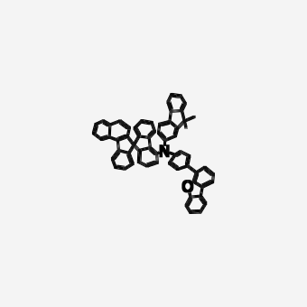 CC1(C)c2ccccc2-c2ccc(N(c3ccc(-c4cccc5c4oc4ccccc45)cc3)c3cccc4c3-c3ccccc3C43c4ccccc4-c4c3ccc3ccccc43)cc21